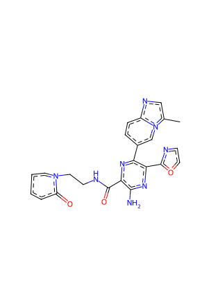 Cc1cnc2ccc(-c3nc(C(=O)NCCn4ccccc4=O)c(N)nc3-c3ncco3)cn12